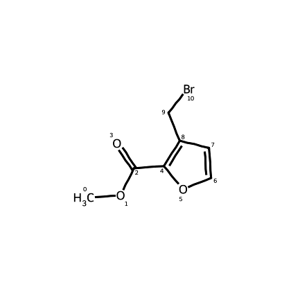 COC(=O)c1occc1CBr